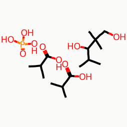 CC(C)C(=O)O.CC(C)C(=O)O.CC(C)C(O)C(C)(C)CO.O=P(O)(O)O